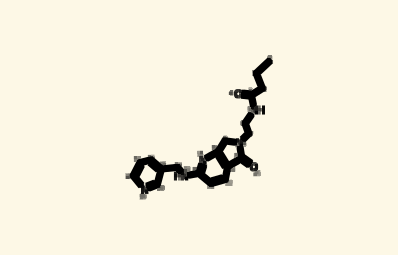 CCCC(=O)NCCN1Cc2nc(NCc3cccnc3)ccc2C1=O